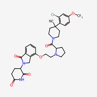 N#CC1(c2ccc(OC(F)(F)F)cc2Cl)CCN(C(=O)C2CCCN2CCOc2cccc3c2CN(C2CCC(=O)NC2=O)C3=O)CC1